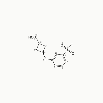 CS(=O)(=O)c1cccc(SN2CC(C(=O)O)C2)c1